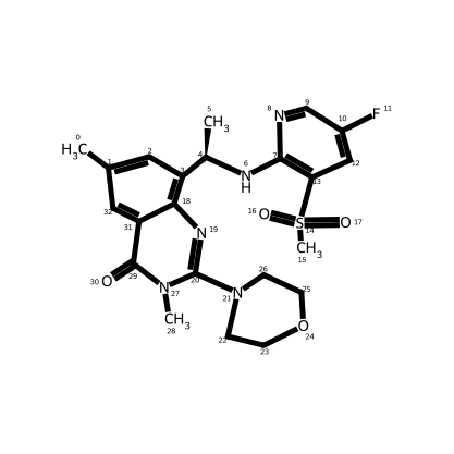 Cc1cc([C@@H](C)Nc2ncc(F)cc2S(C)(=O)=O)c2nc(N3CCOCC3)n(C)c(=O)c2c1